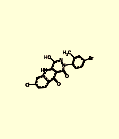 Cc1cc(Br)ccc1-n1nc(O)c2[nH]c3cc(Cl)ccc3c(=O)c2c1=O